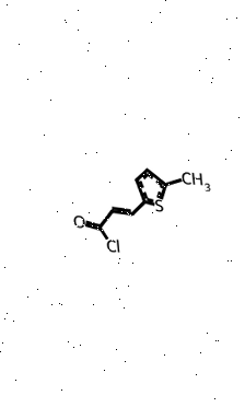 Cc1ccc(/C=C/C(=O)Cl)s1